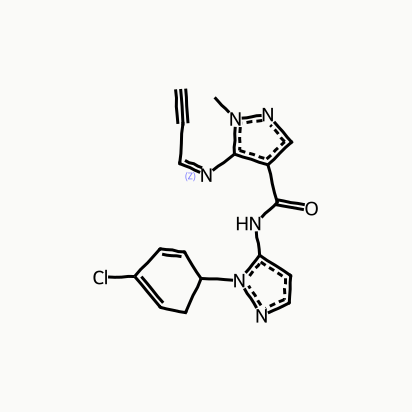 C#C/C=N\c1c(C(=O)Nc2ccnn2C2C=CC(Cl)=CC2)cnn1C